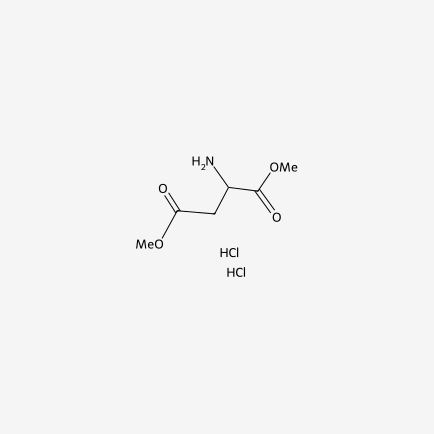 COC(=O)CC(N)C(=O)OC.Cl.Cl